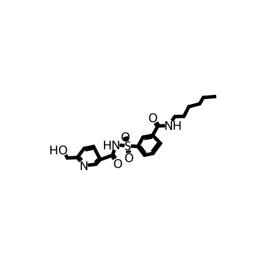 CCCCCCNC(=O)c1cccc(S(=O)(=O)NC(=O)c2ccc(CO)nc2)c1